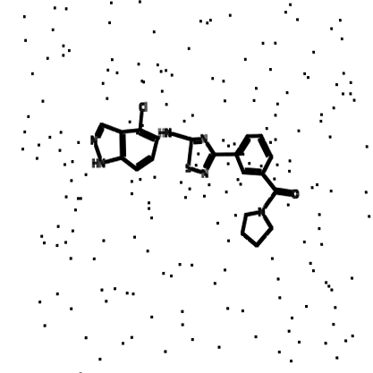 O=C(c1cccc(-c2nsc(Nc3ccc4[nH]ncc4c3Cl)n2)c1)N1CCCC1